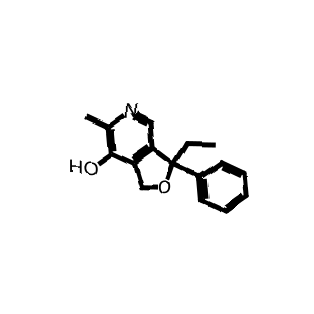 CCC1(c2ccccc2)OCc2c1cnc(C)c2O